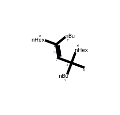 CCCCCC/C(=C/C(C)(CCCC)CCCCCC)CCCC